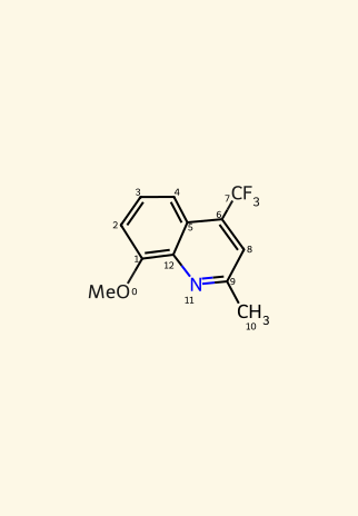 COc1cccc2c(C(F)(F)F)cc(C)nc12